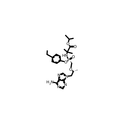 CCc1ccc(O[P@@](=O)(CO[C@H](C)Cn2cnc3c(N)ncnc32)NC(C)(C)C(=O)OC(C)C)cc1